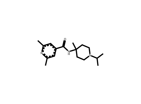 Cc1cc(C(=O)NC2(C)CCN(C(C)C)CC2)cc(C)n1